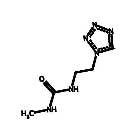 CNC(=O)NCCn1[c]nnn1